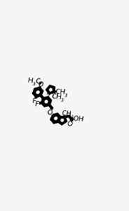 COc1ccc(F)c(-c2c(F)cc(COc3ccc4c(c3)[C@@](C)(CC(=O)O)CC4)cc2[C@@H]2CCCC2(C)C)c1